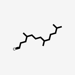 CC(C)CCCC(C)CCCC(C)CCC=O